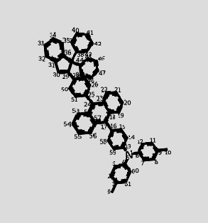 Cc1ccc(N(c2ccc(C)cc2)c2ccc(-c3c4ccccc4c(-c4ccc(C5=Cc6ccccc6C5(c5ccccc5)c5ccccc5)cc4)c4ccccc34)cc2)cc1